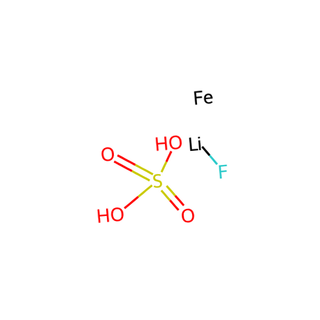 O=S(=O)(O)O.[Fe].[Li][F]